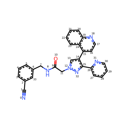 N#Cc1cccc(CNC(=O)Cn2cc(-c3ccnc4ccccc34)c(-c3ccccn3)n2)c1